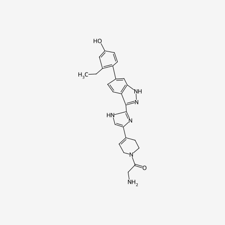 CCc1cc(O)ccc1-c1ccc2c(-c3nc(C4=CCN(C(=O)CN)CC4)c[nH]3)n[nH]c2c1